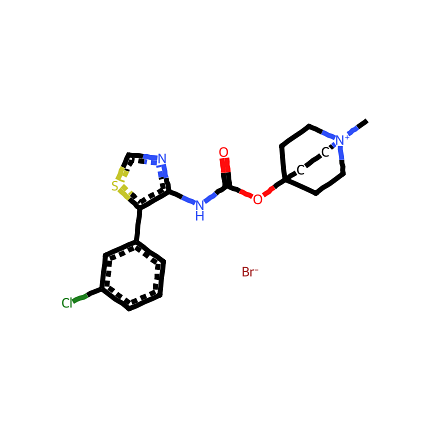 C[N+]12CCC(OC(=O)Nc3ncsc3-c3cccc(Cl)c3)(CC1)CC2.[Br-]